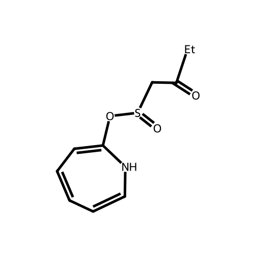 CCC(=O)CS(=O)OC1=CC=CC=CN1